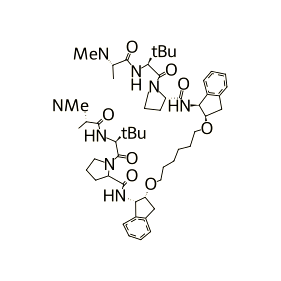 CN[C@@H](C)C(=O)N[C@H](C(=O)N1CCCC1C(=O)N[C@H]1c2ccccc2C[C@H]1OCCCCCCO[C@@H]1Cc2ccccc2[C@@H]1NC(=O)[C@@H]1CCCN1C(=O)[C@@H](NC(=O)[C@H](C)NC)C(C)(C)C)C(C)(C)C